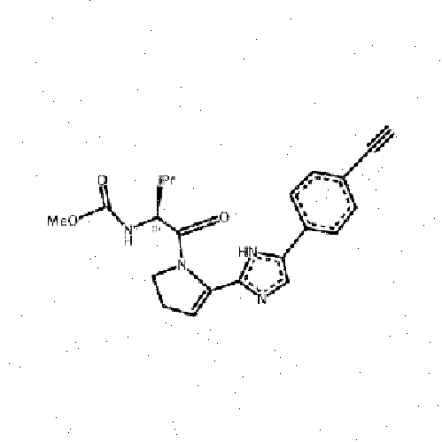 C#Cc1ccc(-c2cnc(C3=CCCN3C(=O)[C@@H](NC(=O)OC)C(C)C)[nH]2)cc1